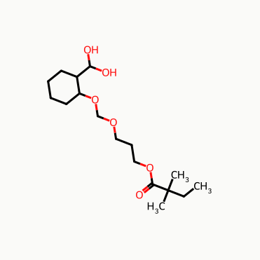 CCC(C)(C)C(=O)OCCCOCOC1CCCCC1C(O)O